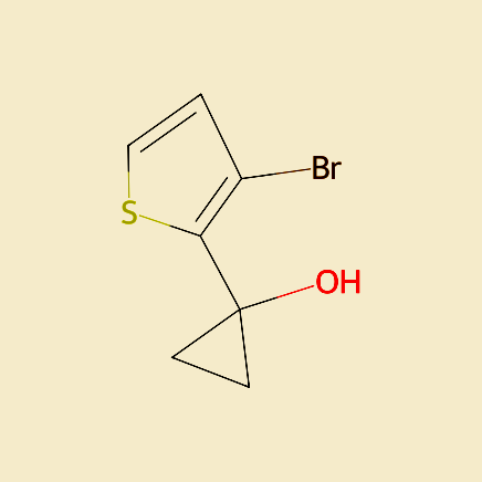 OC1(c2sccc2Br)CC1